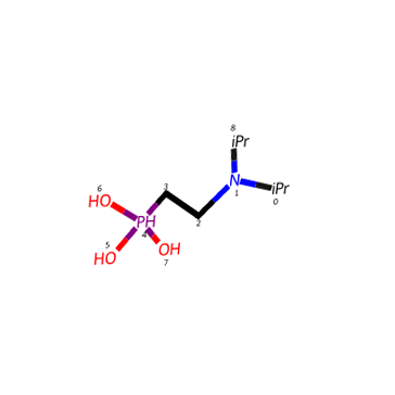 CC(C)N(CC[PH](O)(O)O)C(C)C